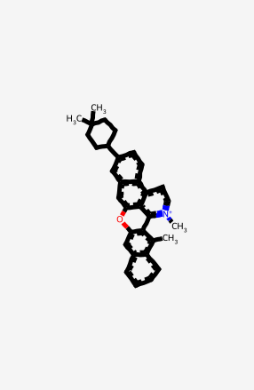 Cc1c2c(cc3ccccc13)Oc1cc3cc(C4CCC(C)(C)CC4)ccc3c3cc[n+](C)c-2c13